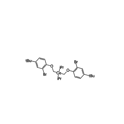 C[CH](C)[Ge]([CH2]Oc1ccc(C(C)(C)C)cc1Br)([CH2]Oc1ccc(C(C)(C)C)cc1Br)[CH](C)C